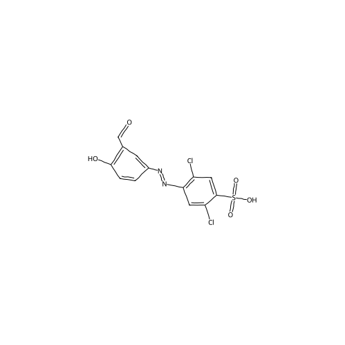 O=Cc1cc(N=Nc2cc(Cl)c(S(=O)(=O)O)cc2Cl)ccc1O